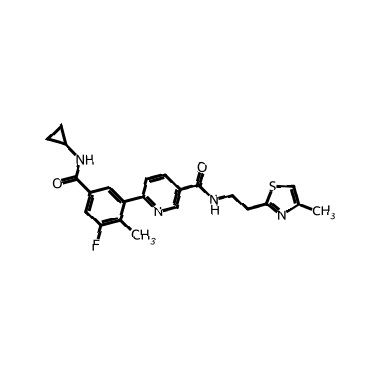 Cc1csc(CCNC(=O)c2ccc(-c3cc(C(=O)NC4CC4)cc(F)c3C)nc2)n1